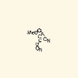 COc1cccc(CN(Cc2cccc(N(C)C)c2)c2cccc(OCCOc3cccc(N(C)C)c3)c2)c1